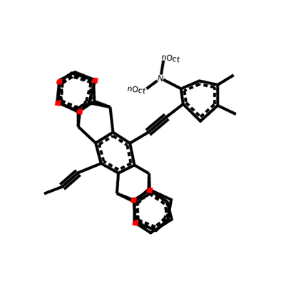 CC#Cc1c2c(c(C#Cc3cc(C)c(C)cc3N(CCCCCCCC)CCCCCCCC)c3c1C1c4ccccc4C3c3ccccc31)C1c3ccccc3C2c2ccccc21